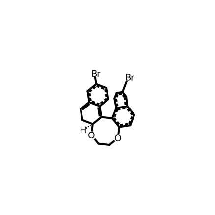 Brc1ccc2c(c1)=CC[C@@H]1OCCOc3ccc4cc(Br)ccc4c3C=21